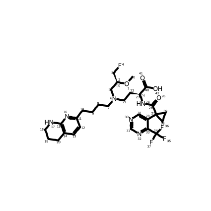 CO[C@H](CF)CN(CCCCc1ccc2c(n1)NCCC2)CC[C@H](NC(=O)C1(c2cncnc2C(F)(F)F)CC1)C(=O)O